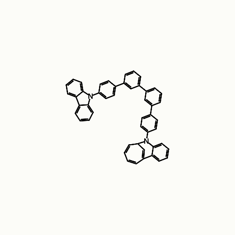 C1=CC2=CC(C=C1)N(c1ccc(-c3cccc(-c4cccc(-c5ccc(-n6c7ccccc7c7ccccc76)cc5)c4)c3)cc1)c1ccccc12